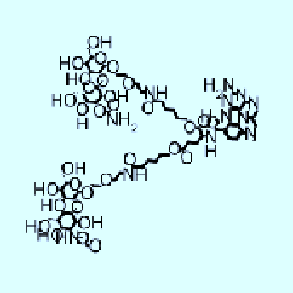 CN(Cc1cnc2nc(N)nc(N)c2n1)c1ccc(C(=O)NC(CCC(=O)OCCCCCC(=O)NCCOCCOC2O[C@@H](CO)[C@@H](O)[C@H](O)[C@@H]2O[C@H]2C[C@H](CO)[C@@H](O)[C@H](NOC=O)[C@@H]2O)C(=O)OCCCCCC(=O)NCCOCCOC2O[C@H](CO)[C@H](O)[C@@H](O)[C@H]2O[C@@H]2O[C@@H](CO)[C@H](O)[C@@H](OC(N)=O)[C@H]2O)cc1